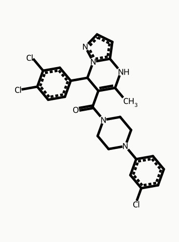 CC1=C(C(=O)N2CCN(c3cccc(Cl)c3)CC2)C(c2ccc(Cl)c(Cl)c2)n2nccc2N1